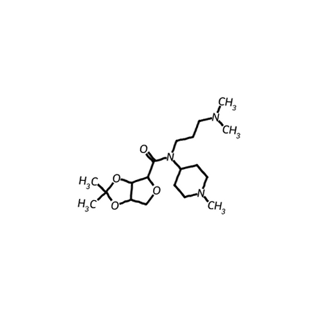 CN(C)CCCN(C(=O)C1OCC2OC(C)(C)OC21)C1CCN(C)CC1